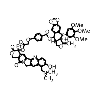 C=C1OC[C@H]2C(OC(=O)c3ccc(OCC(=O)OC4(CC)C(=O)OCc5c4cc4n(c5=O)Cc5cc6c(CN(C)C)c(O)ccc6nc5-4)cc3)c3cc4c(cc3[C@H](c3cc(OC)c(OC)c(OC)c3)[C@@H]12)OCO4